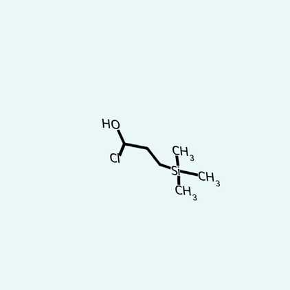 C[Si](C)(C)CCC(O)Cl